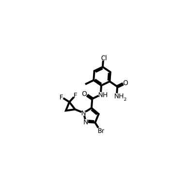 Cc1cc(Cl)cc(C(N)=O)c1NC(=O)c1cc(Br)nn1C1CC1(F)F